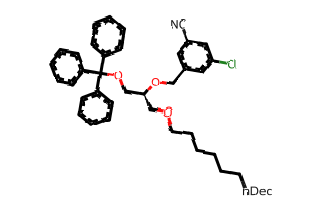 CCCCCCCCCCCCCCCCOC[C@@H](COC(c1ccccc1)(c1ccccc1)c1ccccc1)OCc1cc(Cl)cc(C#N)c1